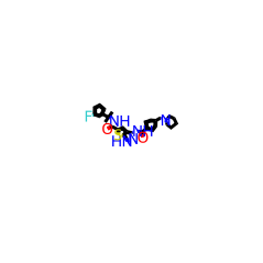 CC(C)(NC(=O)c1cc2c(NC(=O)c3ccc(CN4CCCCC4)cc3)n[nH]c2s1)c1cccc(F)c1